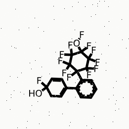 OC1(F)C=CC(c2ccccc2C2(F)C(F)(F)C(F)(F)C(F)(OF)C(F)(F)C2(F)F)=CC1